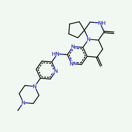 C=C1CC2C(=C)NCC3(CCCC3)N2c2nc(Nc3ccc(N4CCN(C)CC4)cn3)ncc21